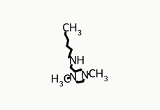 CCCCCCNCC1CN(C)CCN1C